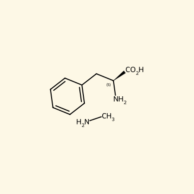 CN.N[C@@H](Cc1ccccc1)C(=O)O